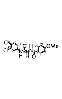 COc1ccc(C(=O)NNC(=O)Nc2ccc(Cl)c(Cl)c2)cc1